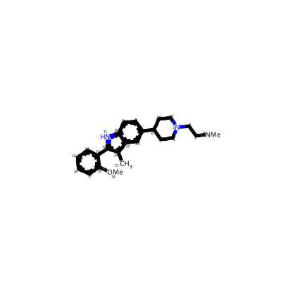 CNCCN1CCC(c2ccc3[nH]c(-c4ccccc4OC)c(C)c3c2)CC1